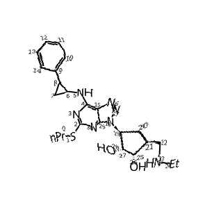 CCCSc1nc(NC2CC2c2ccccc2)c2nnn([C@H]3C[C@@H](CNCC)[C@H](O)[C@@H]3O)c2n1